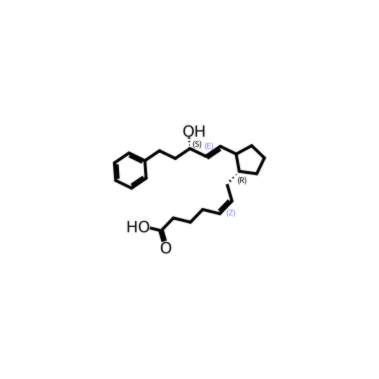 O=C(O)CCC/C=C\C[C@H]1CCCC1/C=C/[C@@H](O)CCc1ccccc1